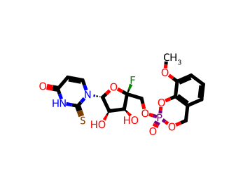 COc1cccc2c1OP(=O)(OC[C@@]1(F)O[C@@H](n3ccc(=O)[nH]c3=S)[C@H](O)[C@@H]1O)OC2